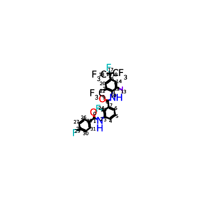 O=C(Nc1cccc(C(=O)Nc2c(I)cc(C(F)(C(F)(F)F)C(F)(F)F)cc2C(F)(F)F)c1F)c1ccc(F)cc1